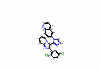 Clc1ccc(Cl)c(-c2nc3ccccn3c2-c2nncn2-c2ccc3ncccc3c2)c1